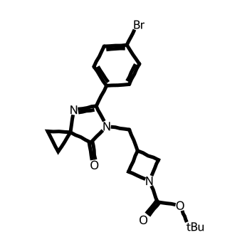 CC(C)(C)OC(=O)N1CC(CN2C(=O)C3(CC3)N=C2c2ccc(Br)cc2)C1